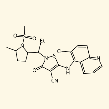 CCC(C1CCC(C)N1S(C)(=O)=O)n1sc(Nc2c(Cl)ccc3ncccc23)c(C#N)c1=O